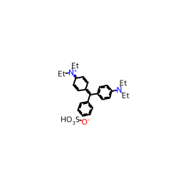 CCN(CC)c1ccc(C(=C2C=CC(=[N+](CC)CC)C=C2)c2ccccc2)cc1.O=S(=O)([O-])O